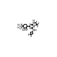 BC1(B)CCC(c2nc(NC3CC(F)(F)C3)nc(N[C@@H](C)C(F)(F)F)n2)=C(F)C1O